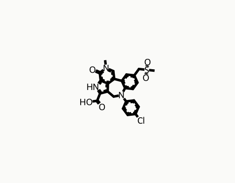 Cn1cc2c3c(c(C(=O)O)[nH]c3c1=O)CN(c1ccc(Cl)cc1)c1ccc(CS(C)(=O)=O)cc1-2